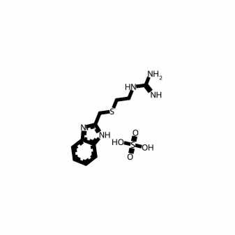 N=C(N)NCCSCc1nc2ccccc2[nH]1.O=S(=O)(O)O